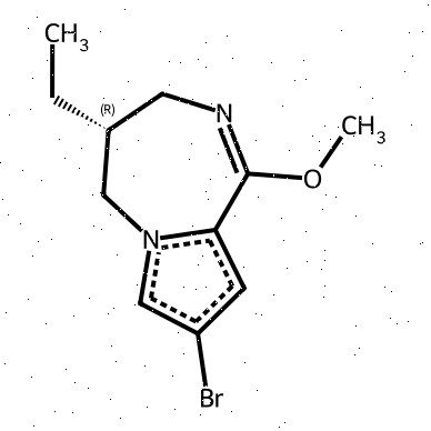 CC[C@@H]1CN=C(OC)c2cc(Br)cn2C1